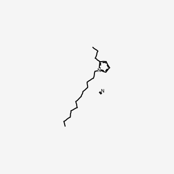 C#N.CCCCCCCCCCCCn1cccc1CCC